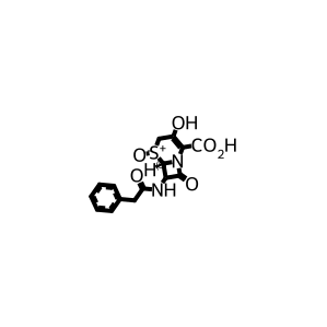 O=C(Cc1ccccc1)NC1C(=O)N2C(C(=O)O)=C(O)C[S+]([O-])[C@@H]12